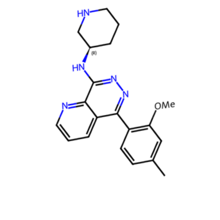 COc1cc(C)ccc1-c1nnc(N[C@@H]2CCCNC2)c2ncccc12